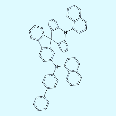 c1ccc(-c2ccc(N(c3ccc4c(c3)C3(c5ccccc5-4)c4ccccc4N(c4cccc5ccccc45)c4ccccc43)c3cccc4ccccc34)cc2)cc1